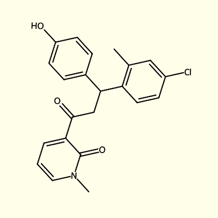 Cc1cc(Cl)ccc1C(CC(=O)c1cccn(C)c1=O)c1ccc(O)cc1